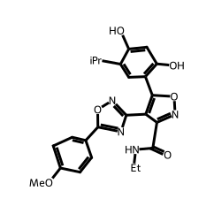 CCNC(=O)c1noc(-c2cc(C(C)C)c(O)cc2O)c1-c1noc(-c2ccc(OC)cc2)n1